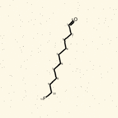 O=[C]CCCCCCCCCF